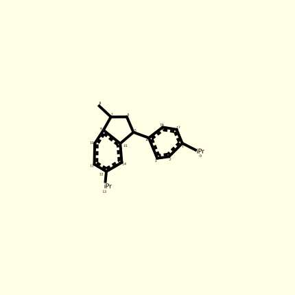 CC(C)c1ccc(C2CC(C)c3ccc(C(C)C)cc32)cc1